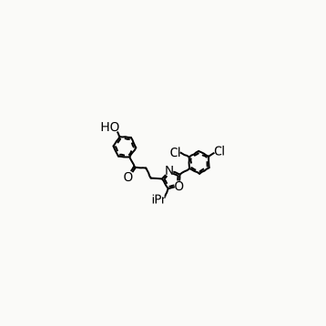 CC(C)c1oc(-c2ccc(Cl)cc2Cl)nc1CCC(=O)c1ccc(O)cc1